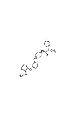 COc1ccccc1Oc1cccc(CN2CCC(NC(=O)[C@H](C)c3ccccc3)CC2)c1